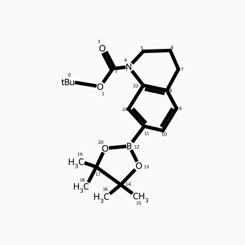 CC(C)(C)OC(=O)N1CCCc2ccc(B3OC(C)(C)C(C)(C)O3)cc21